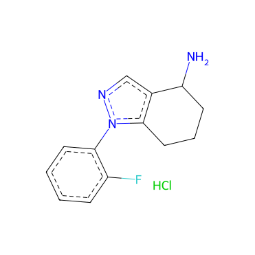 Cl.NC1CCCc2c1cnn2-c1ccccc1F